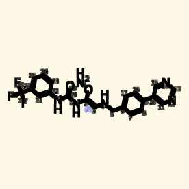 NO/C(=C\NCc1ccc(-c2cncnc2)cc1)NC(=O)Nc1cccc(C(F)(F)F)c1